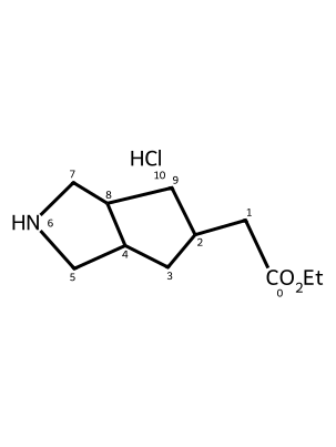 CCOC(=O)CC1CC2CNCC2C1.Cl